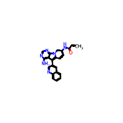 C=CC(=O)NC1C=Cc2c(-c3cnc4ccccc4c3)c3c(N)ncnc3n2C1